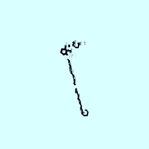 O=C1CCC(n2ncc3cccc(NCCOCCOCCOCCOCCOCCOCCC(=O)N4CCCCC4)c3c2=O)C(=O)N1